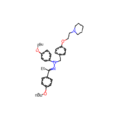 CCCCOc1ccc(/C(CC)=N/N(Cc2ccc(OCCN3CCCCC3)cc2)c2ccc(OCCCC)cc2)cc1